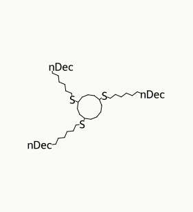 CCCCCCCCCCCCCCCCSC1CCCCC(SCCCCCCCCCCCCCCCC)CCC(SCCCCCCCCCCCCCCCC)CCC1